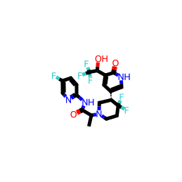 CC(C(=O)Nc1ccc(F)cn1)N1CCC(F)(F)[C@@H](c2c[nH]c(=O)c(C(O)C(F)(F)F)c2)C1